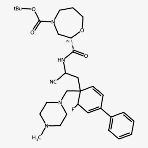 CN1CCN(CC2(CC(C#N)NC(=O)[C@@H]3CN(C(=O)OC(C)(C)C)CCCO3)C=CC(c3ccccc3)=CC2F)CC1